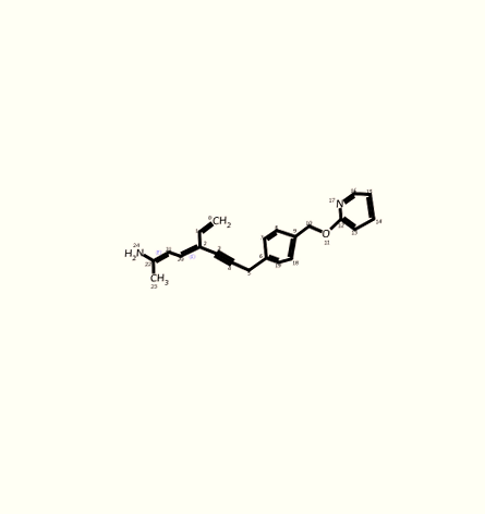 C=C/C(C#CCc1ccc(COc2ccccn2)cc1)=C\C=C(/C)N